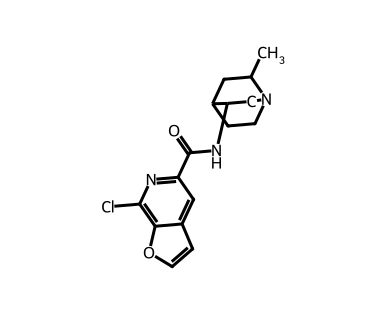 CC1CC2CCN1CC2NC(=O)c1cc2ccoc2c(Cl)n1